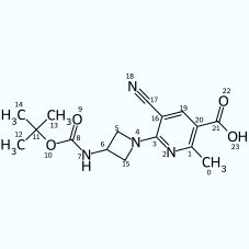 Cc1nc(N2CC(NC(=O)OC(C)(C)C)C2)c(C#N)cc1C(=O)O